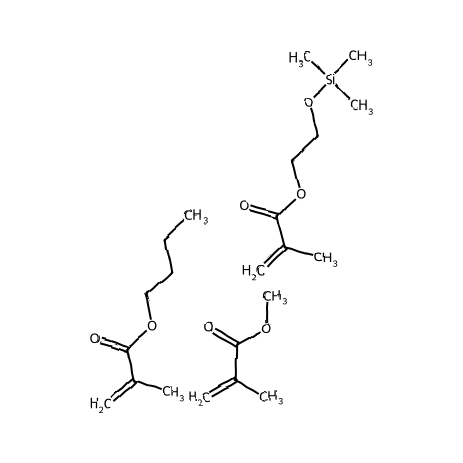 C=C(C)C(=O)OC.C=C(C)C(=O)OCCCC.C=C(C)C(=O)OCCO[Si](C)(C)C